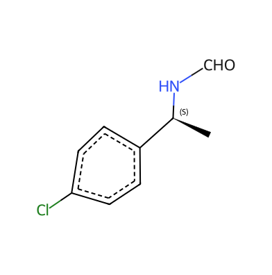 C[C@H](NC=O)c1ccc(Cl)cc1